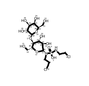 O=P(O)(NCCCl)N(CCCl)[C@@H]1O[C@H](CO)[C@@H](O[C@@H]2O[C@H](CO)[C@H](O)[C@H](O)[C@H]2O)[C@H](O)[C@H]1O